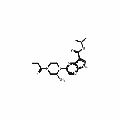 CCC(=O)N1CCN(c2cnc3[nH]cc(C(=O)NC(C)C)c3n2)[C@@H](N)C1